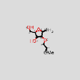 BC1OC(CO)C(O)C1OCCOC